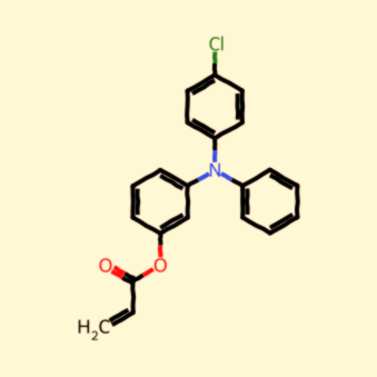 C=CC(=O)Oc1cccc(N(c2ccccc2)c2ccc(Cl)cc2)c1